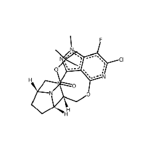 Cn1nc2c3c(nc(Cl)c(F)c31)OC[C@@H]1[C@@H]3CC[C@H](CN21)N3C(=O)OC(C)(C)C